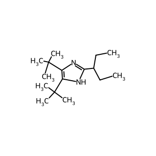 CCC(CC)c1nc(C(C)(C)C)c(C(C)(C)C)[nH]1